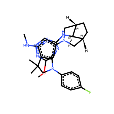 CNc1nc(N[C@@H]2[C@@H]3CC[C@H]2CN(c2cnnc(OC)c2)C3)nc2c1C(C)(C)CN2c1ccc(F)cc1